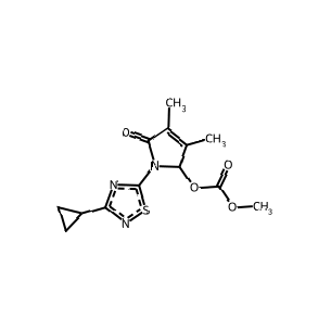 COC(=O)OC1C(C)=C(C)C(=O)N1c1nc(C2CC2)ns1